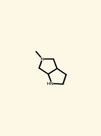 CN1CC2C[CH]NC2C1